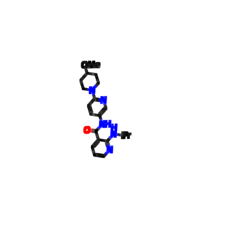 COC1CCN(c2ccc(NC(=O)c3cccnc3NC(C)C)cn2)CC1